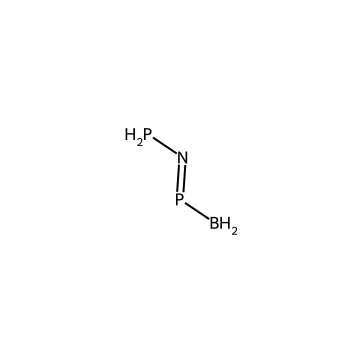 B/P=N/P